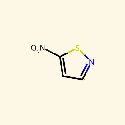 O=[N+]([O-])c1c[c]ns1